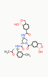 CC(=O)C[C@H](NC(=O)[C@@H]1C[C@@H](NC(=O)c2ccc3c(c2)B(O)OC3)CN1C(=O)c1ccc2c(c1)B(O)OC2)c1cccc(C)c1